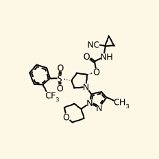 Cc1cc(N2C[C@H](S(=O)(=O)c3ccccc3C(F)(F)F)C[C@@H]2OC(=O)NC2(C#N)CC2)n(C2CCOCC2)n1